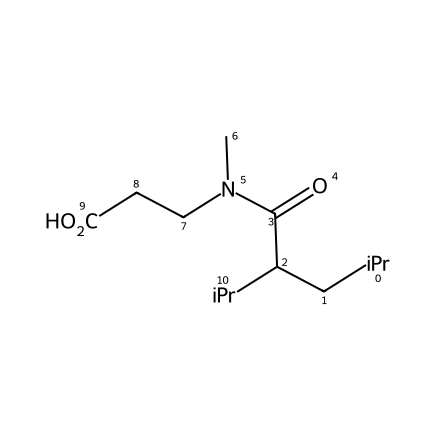 CC(C)CC(C(=O)N(C)CCC(=O)O)C(C)C